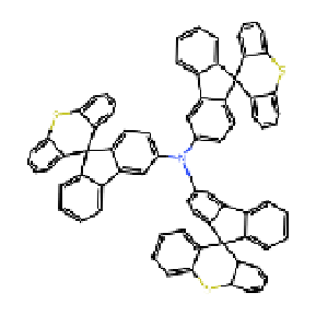 C1=CC2Sc3ccccc3C3(c4ccccc4-c4cc(N(c5ccc6c(c5)-c5ccccc5C65c6ccccc6Sc6ccccc65)c5ccc6c(c5)-c5ccccc5C65c6ccccc6Sc6ccccc65)ccc43)C2C=C1